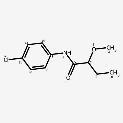 CCC(OC)C(=O)Nc1ccc(Cl)cc1